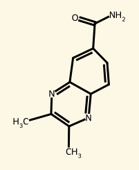 Cc1nc2ccc(C(N)=O)cc2nc1C